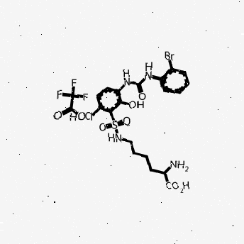 NC(CCCCNS(=O)(=O)c1c(Cl)ccc(NC(=O)Nc2ccccc2Br)c1O)C(=O)O.O=C(O)C(F)(F)F